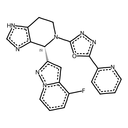 Fc1cccn2nc([C@@H]3c4nc[nH]c4CCN3c3nnc(-c4ccccn4)o3)cc12